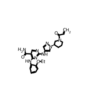 C=CC(=O)N1CCC[C@@H](n2cc(Nc3ncc(C(N)=O)c(Nc4ccccc4OCC)n3)cn2)C1